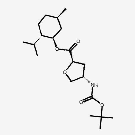 CC(C)[C@@H]1CC[C@@H](C)C[C@H]1OC(=O)[C@H]1C[C@H](NC(=O)OC(C)(C)C)CO1